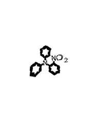 O=[N+]([O-])c1ccccc1N(c1ccccc1)c1ccccc1